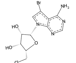 Nc1ncnc2c1c(Br)cn2[C@@H]1O[C@H](CCl)[C@H](O)[C@@H]1O